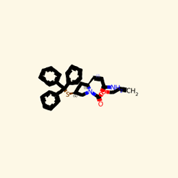 C=CCOC(=O)N1C[C@@H](SC(c2ccccc2)(c2ccccc2)c2ccccc2)C[C@H]1/C=C\C(N)=O